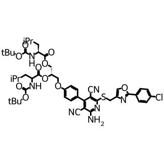 CC(C)CC(NC(=O)OC(C)(C)C)C(=O)O[C@H](COC(=O)[C@H](CC(C)C)NC(=O)OC(C)(C)C)COc1ccc(-c2c(C#N)c(N)nc(SCc3coc(-c4ccc(Cl)cc4)n3)c2C#N)cc1